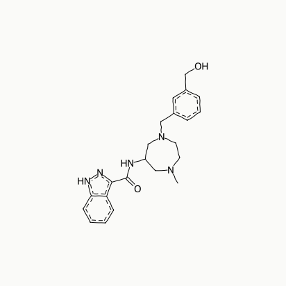 CN1CCN(Cc2cccc(CO)c2)CC(NC(=O)c2n[nH]c3ccccc23)C1